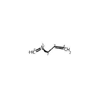 [CH]=NCC=C